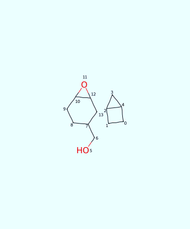 C1CC2CC12.OCC1CCC2OC2C1